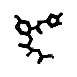 Cc1cc(NC(=O)c2cc(Cl)ccc2CC(=O)[C@H](C)OC(N)=O)n[nH]1